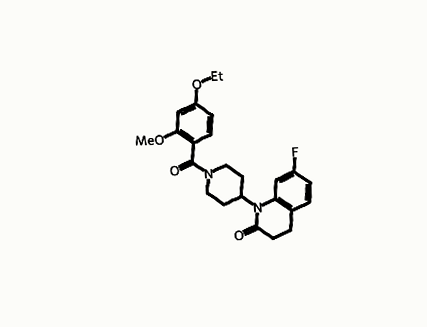 CCOc1ccc(C(=O)N2CCC(N3C(=O)CCc4ccc(F)cc43)CC2)c(OC)c1